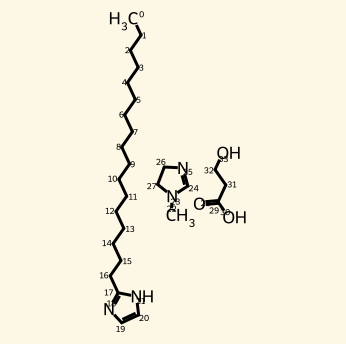 CCCCCCCCCCCCCCCCCc1ncc[nH]1.CN1C=NCC1.O=C(O)CCO